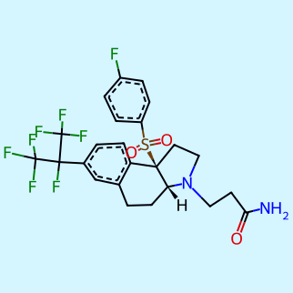 NC(=O)CCN1CC[C@@]2(S(=O)(=O)c3ccc(F)cc3)c3ccc(C(F)(C(F)(F)F)C(F)(F)F)cc3CC[C@@H]12